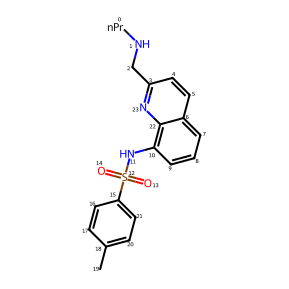 CCCNCc1ccc2cccc(NS(=O)(=O)c3ccc(C)cc3)c2n1